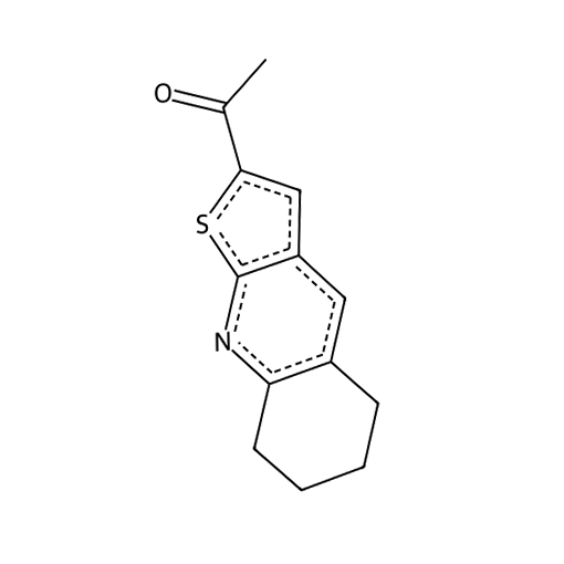 CC(=O)c1cc2cc3c(nc2s1)CCCC3